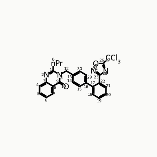 CCCc1nc2ccccc2c(=O)n1Cc1ccc(-c2ccccc2-c2noc(C(Cl)(Cl)Cl)n2)cc1